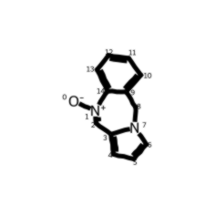 [O-][N+]1=Cc2cccn2Cc2ccccc21